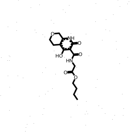 CCCCOC(=O)CNC(=O)c1c(O)c2c([nH]c1=O)COCC2